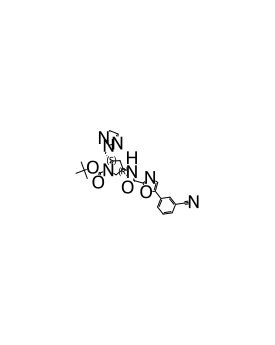 CC(C)(C)OC(=O)N1C[C@H](NC(=O)c2ncc(-c3cccc(C#N)c3)o2)C[C@H]1Cn1nccn1